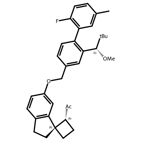 CO[C@H](c1cc(COc2ccc3c(c2)[C@@]2(CC3)CC[C@H]2C(C)=O)ccc1-c1cc(C)ccc1F)C(C)(C)C